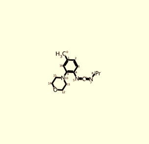 Cc1ccc(N=C=NC(C)C)c(N2CCOCC2)c1